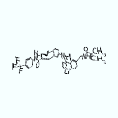 CC(C)C(=O)NCc1ccc(Cl)c(C(=O)Nc2ccc3[nH]c(C(=O)Nc4ccc(C(F)(F)F)cc4)cc3c2)c1